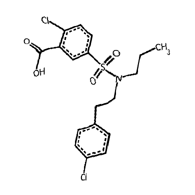 CCCN(CCc1ccc(Cl)cc1)S(=O)(=O)c1ccc(Cl)c(C(=O)O)c1